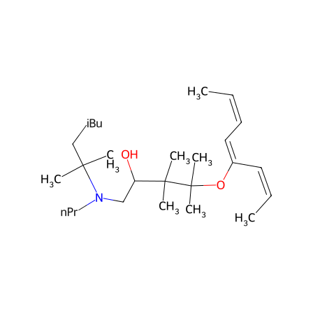 C\C=C/C=C(\C=C/C)OC(C)(C)C(C)(C)C(O)CN(CCC)C(C)(C)CC(C)CC